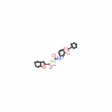 O=C(NSC(=O)c1cc2ccccc2o1)Nc1ccc2c(c1)OC(c1ccccc1)O2